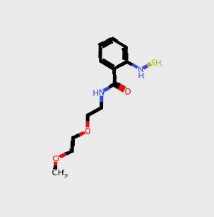 COCCOCCNC(=O)c1ccccc1NS